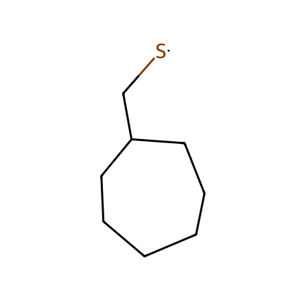 [S]CC1CCCCCC1